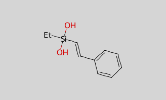 CC[Si](O)(O)C=Cc1ccccc1